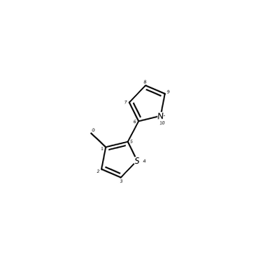 Cc1ccsc1C1=CC=C[N]1